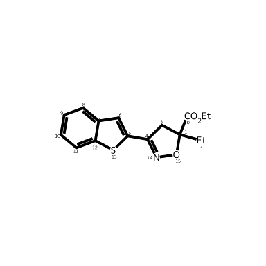 CCOC(=O)C1(CC)CC(c2cc3ccccc3s2)=NO1